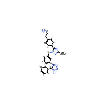 CCC(C)c1nc(-c2ccc(CCN)cc2)n(Cc2ccc(-c3ccccc3-c3nnn[nH]3)cc2)n1